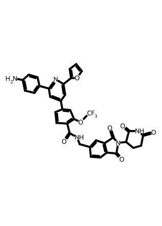 Nc1ccc(-c2cc(-c3ccc(C(=O)NCc4ccc5c(c4)C(=O)N(C4CCC(=O)NC4=O)C5=O)c(OC(F)(F)F)c3)cc(-c3ccco3)n2)cc1